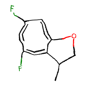 CC1COc2cc(F)cc(F)c21